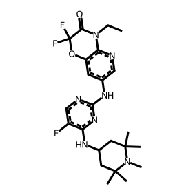 CCN1C(=O)C(F)(F)Oc2cc(Nc3ncc(F)c(NC4CC(C)(C)N(C)C(C)(C)C4)n3)cnc21